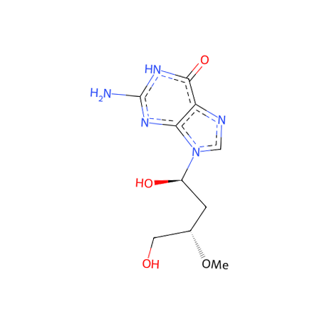 CO[C@H](CO)C[C@@H](O)n1cnc2c(=O)[nH]c(N)nc21